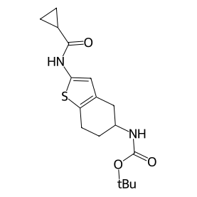 CC(C)(C)OC(=O)NC1CCc2sc(NC(=O)C3CC3)cc2C1